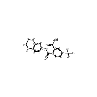 O=C(O)c1cc(C(F)(F)F)ccc1C(=O)Nc1ccc2c(n1)OCCO2